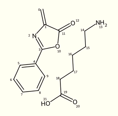 C=C1N=C(c2ccccc2)OC1=O.NCCCCCC(=O)O